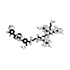 CCc1cc(Nc2nccn3c(-c4ccc(OC)c(F)c4F)cnc23)ccc1C(=O)NCCNC(=O)[C@H](CCCN/C(=N/C(=O)OC(C)(C)C)N(CCCCO)C(=O)OC(C)(C)C)NC(=O)OC(C)(C)C